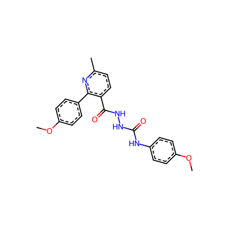 COc1ccc(NC(=O)NNC(=O)c2ccc(C)nc2-c2ccc(OC)cc2)cc1